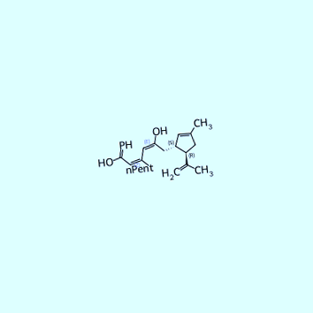 C=C(C)[C@@H]1CC(C)=C[C@H]1C/C(O)=C\C(=C/C(O)=P)CCCCC